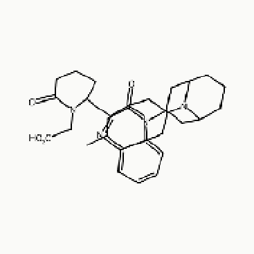 CC1CC2CC(C1)CC(N1C3CCCC1CC(n1c(=O)c(C4CCCC(=O)N4CC(=O)O)nc4ccccc41)C3)C2